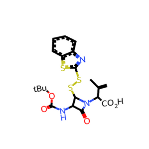 C=C(C)C(C(=O)O)N1C(=O)C(NC(=O)OC(C)(C)C)C1SSc1nc2ccccc2s1